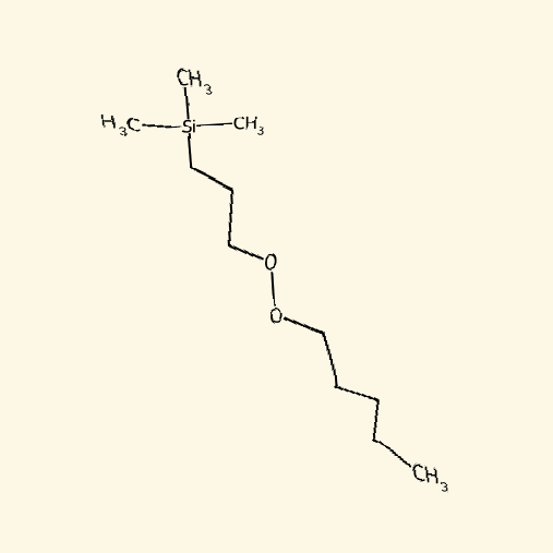 CCCCCOOCCC[Si](C)(C)C